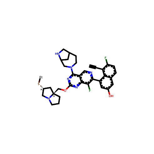 C#Cc1c(F)ccc2cc(O)cc(-c3ncc4c(N5CCC6CNC(C6)C5)nc(OC[C@@]56CCCN5C[C@H](SCC)C6)nc4c3F)c12